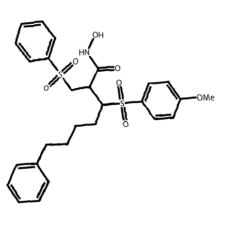 COc1ccc(S(=O)(=O)C(CCCCc2ccccc2)C(CS(=O)(=O)c2ccccc2)C(=O)NO)cc1